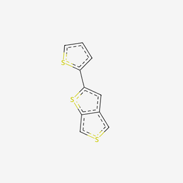 c1csc(-c2cc3cscc3s2)c1